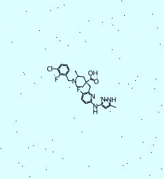 Cc1cc(Nc2ccc(F)c(C[C@@]3(C(=O)O)CCN(Cc4cccc(Cl)c4F)[C@@H](C)C3)n2)n[nH]1